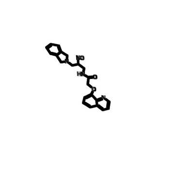 O=NC(CNC(=O)COc1cccc2cccnc12)CN1Cc2ccccc2C1